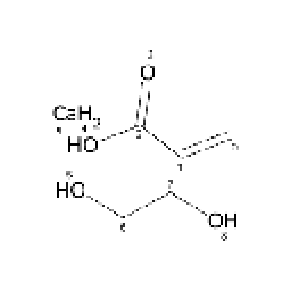 C=CC(=O)O.OCCO.[CaH2]